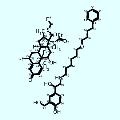 CCC(=O)O[C@]1(C(=O)SCF)[C@H](C)C[C@H]2C3C[C@H](F)C4=CC(=O)C=C[C@]4(C)[C@@]3(F)[C@@H](O)C[C@@]21C.OCc1cc(C(O)CNCCCCCCOCCCCc2ccccc2)ccc1O